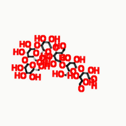 O=C[C@H](O)[C@@H](O)[C@H](O[C@@H]1O[C@H](CO)[C@@H](O[C@@H]2O[C@H](CO)[C@@H](O[C@@H]3O[C@H](CO)[C@@H](O[C@@H]4O[C@H](CO)[C@@H](O[C@@H]5O[C@H](CO)[C@@H](O)[C@H](O)[C@H]5O)[C@H](O)[C@H]4O)[C@H](O)[C@H]3O)[C@H](O)[C@H]2O)[C@H](O)[C@H]1O)[C@H](O)CO